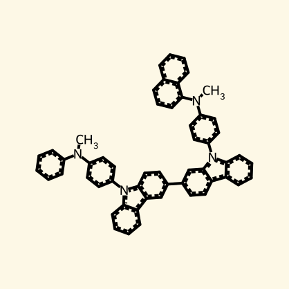 CN(c1ccccc1)c1ccc(-n2c3ccccc3c3cc(-c4ccc5c6ccccc6n(-c6ccc(N(C)c7cccc8ccccc78)cc6)c5c4)ccc32)cc1